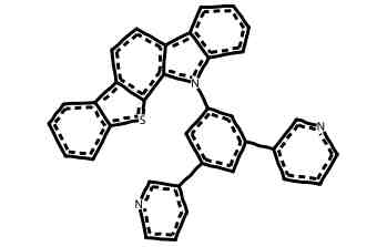 c1cncc(-c2cc(-c3cccnc3)cc(-n3c4ccccc4c4ccc5c6ccccc6sc5c43)c2)c1